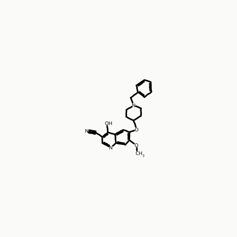 COc1cc2ncc(C#N)c(O)c2cc1OC1CCN(Cc2ccccc2)CC1